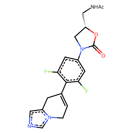 CC(=O)NC[C@H]1CN(c2cc(F)c(C3=CCn4cncc4C3)c(F)c2)C(=O)O1